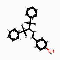 CC(C)(c1ccccc1)C(CCc1ccc(O)cc1)C(C)(C)c1ccccc1